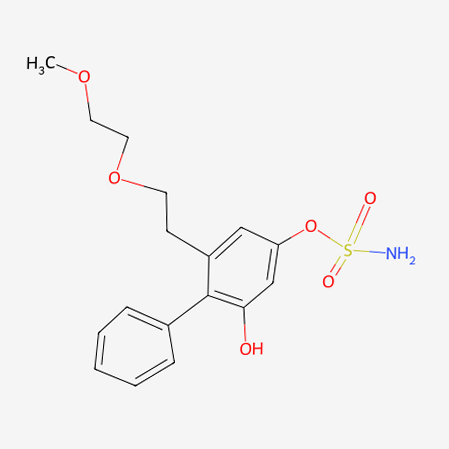 COCCOCCc1cc(OS(N)(=O)=O)cc(O)c1-c1ccccc1